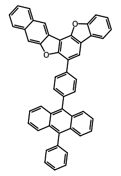 c1ccc(-c2c3ccccc3c(-c3ccc(-c4cc5c6ccccc6oc5c5c4oc4cc6ccccc6cc45)cc3)c3ccccc23)cc1